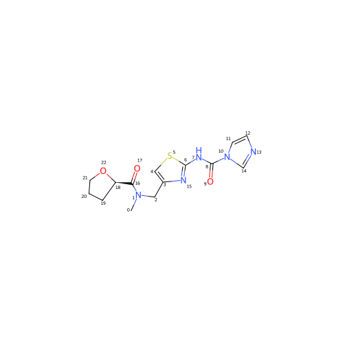 CN(Cc1csc(NC(=O)n2ccnc2)n1)C(=O)[C@H]1CCCO1